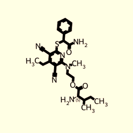 CCc1c(C#N)c(SC(C(N)=O)c2ccccc2)nc(N(C)CCOC(=O)[C@@H](N)C(C)CC)c1C#N